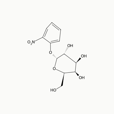 O=[N+]([O-])c1ccccc1O[C@H]1O[C@H](CO)[C@H](O)[C@H](O)[C@H]1O